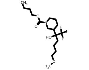 CCCCOC(=O)N1CCCC(C(O)(CCCCOC)C(F)(F)F)C1